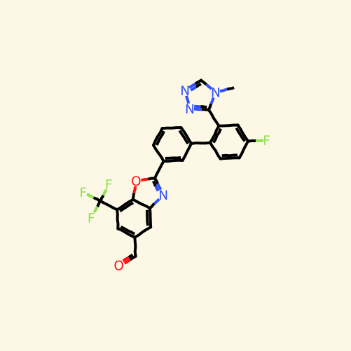 Cn1cnnc1-c1cc(F)ccc1-c1cccc(-c2nc3cc(C=O)cc(C(F)(F)F)c3o2)c1